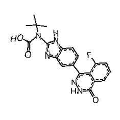 CC(C)(C)N(C(=O)O)c1nc2cc(-c3n[nH]c(=O)c4cccc(F)c34)ccc2[nH]1